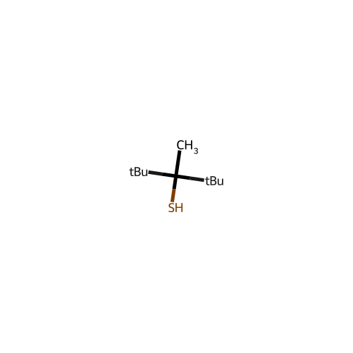 CC(C)(C)C(C)(S)C(C)(C)C